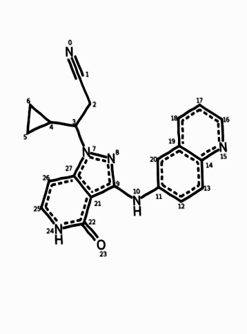 N#CCC(C1CC1)n1nc(Nc2ccc3ncccc3c2)c2c(=O)[nH]ccc21